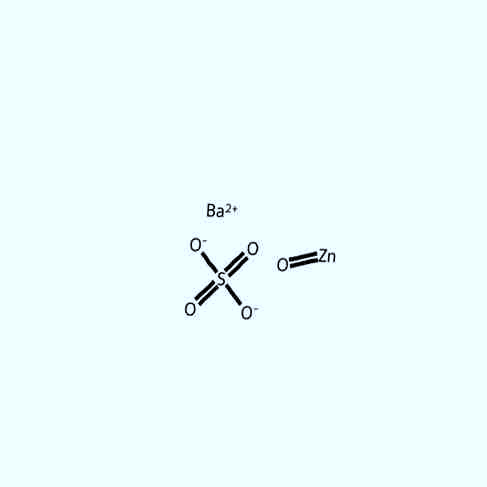 O=S(=O)([O-])[O-].[Ba+2].[O]=[Zn]